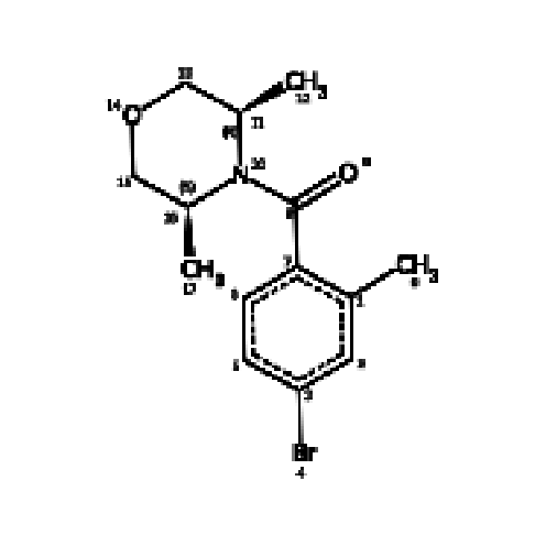 Cc1cc(Br)ccc1C(=O)N1[C@H](C)COC[C@@H]1C